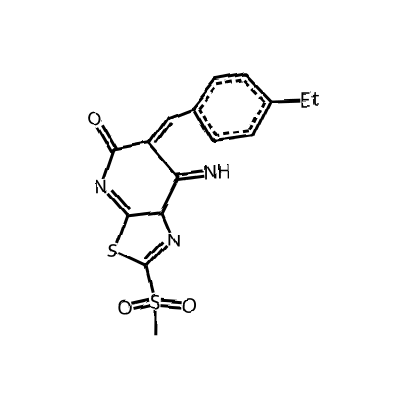 CCc1ccc(/C=C2\C(=N)C3N=C(S(C)(=O)=O)SC3=NC2=O)cc1